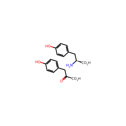 N[C@@H](Cc1ccc(O)cc1)C(=O)O.O=C(O)C(=O)Cc1ccc(O)cc1